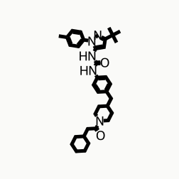 Cc1ccc(-n2nc(C(C)(C)C)cc2NC(=O)Nc2ccc(CC3CCN(C(=O)CC4CCCCC4)CC3)cc2)cc1